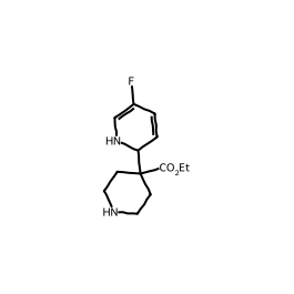 CCOC(=O)C1(C2C=CC(F)=CN2)CCNCC1